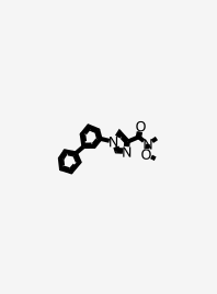 CON(C)C(=O)c1cn(-c2cccc(-c3ccccc3)c2)cn1